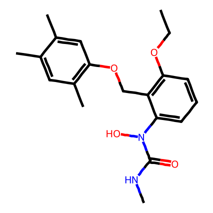 CCOc1cccc(N(O)C(=O)NC)c1COc1cc(C)c(C)cc1C